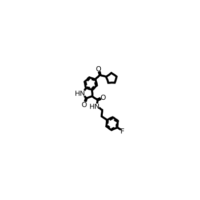 O=C(c1ccc2c(c1)C(C(=O)NCCc1ccc(F)cc1)C(=O)N2)C1CCCC1